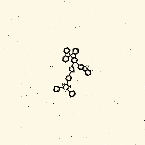 c1ccc(-c2nc(-c3ccccc3)nc(-c3ccc(-c4ccc(-c5cc6c(cc5-c5ccc7c(c5)oc5ccccc57)-c5ccccc5C6(c5ccccc5)c5ccccc5)cc4)cc3)n2)cc1